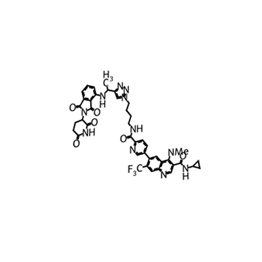 CNc1c(C(=O)NC2CC2)cnc2cc(C(F)(F)F)c(-c3ccc(C(=O)NCCCCn4cc(C(C)Nc5cccc6c5C(=O)N(C5CCC(=O)NC5=O)C6=O)nn4)nc3)cc12